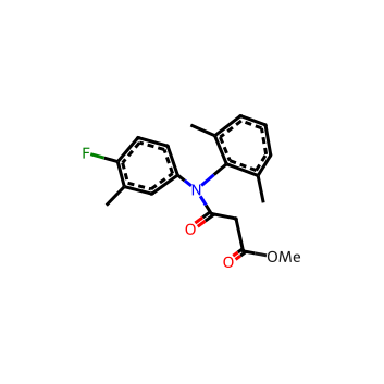 COC(=O)CC(=O)N(c1ccc(F)c(C)c1)c1c(C)cccc1C